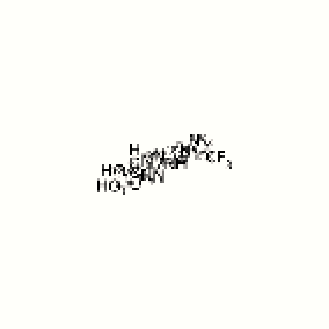 OC[C@H]1O[C@@H](n2cnc3c(N[C@H]4CCN(c5cc(C(F)(F)F)ccn5)C4)ncnc32)[C@@H](O)[C@H]1O